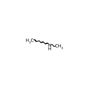 CC=CCC=CC=CNCCC